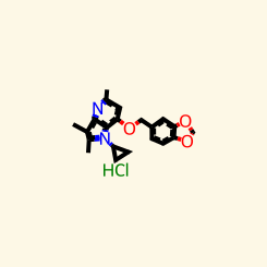 Cc1cc(OCc2ccc3c(c2)OCO3)c2c(n1)c(C)c(C)n2C1CC1.Cl